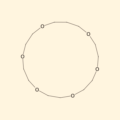 C1COCCOCCOCCOCCOCCOC1